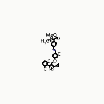 COC(=O)c1nn(C)c2cc(/C=C/c3ccc(OCc4c(-c5c(Cl)cccc5Cl)noc4C4CC4)cc3Cl)ccc12